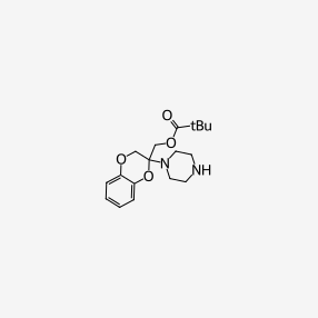 CC(C)(C)C(=O)OCC1(N2CCNCC2)COc2ccccc2O1